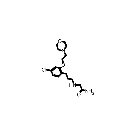 NC(=O)CNCCCc1ccc(Cl)cc1OCCN1CCOCC1